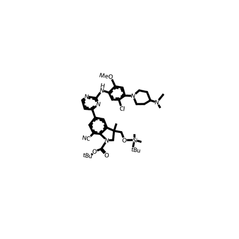 COc1cc(N2CCC(N(C)C)CC2)c(Cl)cc1Nc1nccc(-c2cc(C#N)c3c(c2)C(C)(CO[Si](C)(C)C(C)(C)C)CN3C(=O)OC(C)(C)C)n1